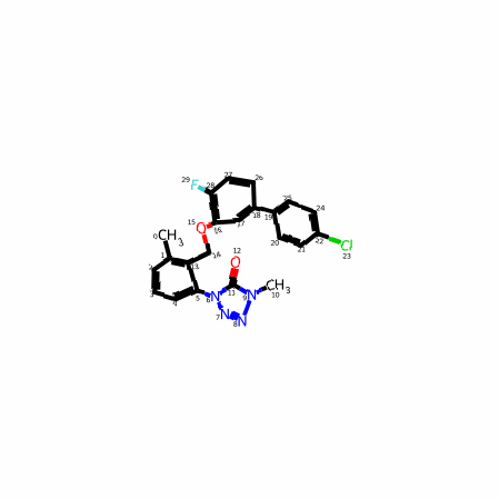 Cc1cccc(-n2nnn(C)c2=O)c1COc1cc(-c2ccc(Cl)cc2)ccc1F